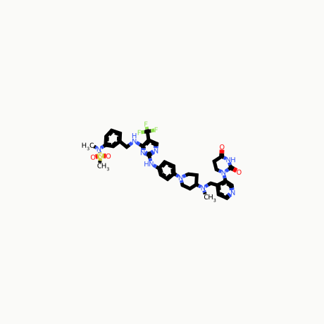 CN(Cc1ccncc1N1CCC(=O)NC1=O)C1CCN(c2ccc(Nc3ncc(C(F)(F)F)c(NCc4cccc(N(C)S(C)(=O)=O)c4)n3)cc2)CC1